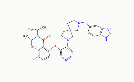 CC(C)N(C(=O)c1cc(F)ccc1Oc1cncnc1N1CCC2(CCN(Cc3ccc4c(c3)NCN4)C2)C1)C(C)C